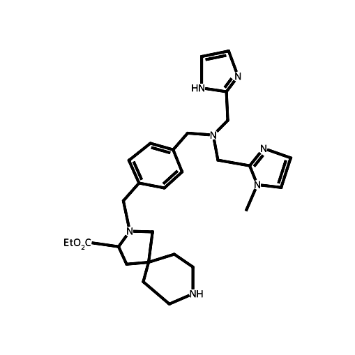 CCOC(=O)C1CC2(CCNCC2)CN1Cc1ccc(CN(Cc2ncc[nH]2)Cc2nccn2C)cc1